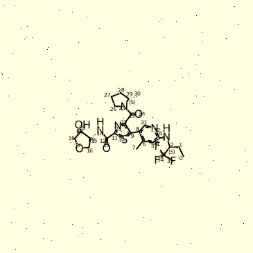 CC[C@H](Nc1cc(C)c(-c2sc(C(=O)N[C@@H]3COC[C@@H]3O)nc2C(=O)N2CCC[C@@H]2C)cn1)C(F)(F)F